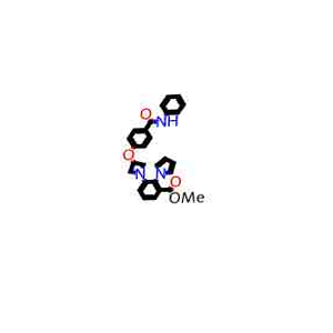 COC(=O)c1cccc(N2CC(Oc3ccc(C(=O)Nc4ccccc4)cc3)C2)c1-n1cccc1